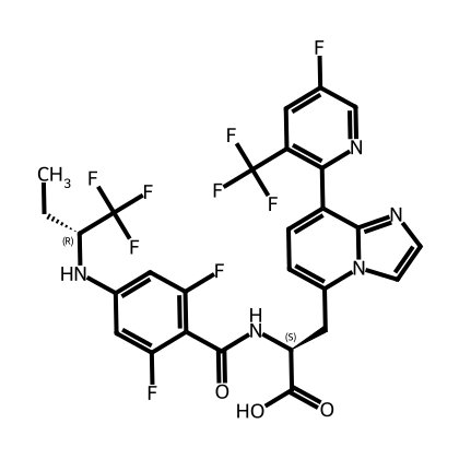 CC[C@@H](Nc1cc(F)c(C(=O)N[C@@H](Cc2ccc(-c3ncc(F)cc3C(F)(F)F)c3nccn23)C(=O)O)c(F)c1)C(F)(F)F